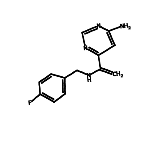 C=C(NCc1ccc(F)cc1)c1cc(N)ncn1